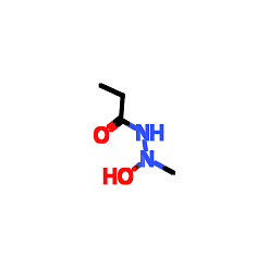 CCC(=O)NN(C)O